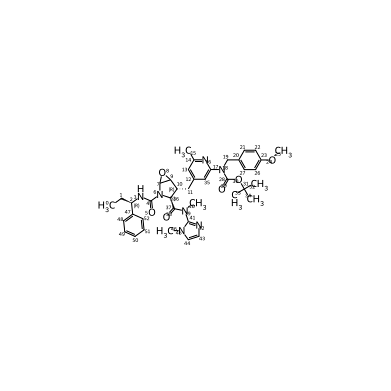 CC[C@@H](NC(=O)N1C2OC2[C@H](Cc2cc(C)nc(N(Cc3ccc(OC)cc3)C(=O)OC(C)(C)C)c2)[C@H]1C(=O)N(C)c1nccn1C)c1ccccc1